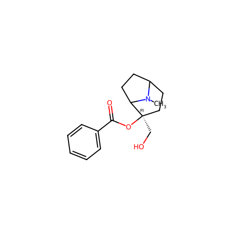 CN1C2CCC1[C@](CO)(OC(=O)c1ccccc1)CC2